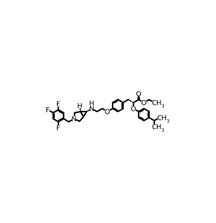 CCOC(=O)[C@H](Cc1ccc(OCCN[C@H]2C3CN(Cc4cc(F)c(F)cc4F)C[C@@H]32)cc1)Oc1ccc(C(C)C)cc1